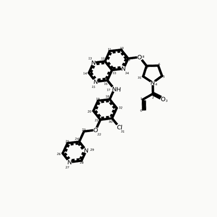 C=CC(=O)N1CCC(Oc2ccc3ncnc(Nc4ccc(OCc5ccncn5)c(Cl)c4)c3n2)C1